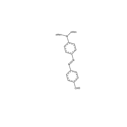 CCCCCCN(CCCCCC)c1ccc(/N=N/c2ccc(C=O)cc2)cc1